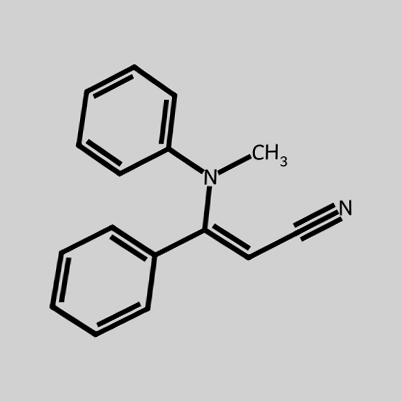 CN(C(=CC#N)c1ccccc1)c1ccccc1